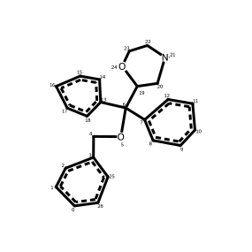 c1ccc(COC(c2ccccc2)(c2ccccc2)C2C[N]CCO2)cc1